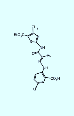 CCOC(=O)c1sc(NC(=O)/C(=N/Nc2ccc(Cl)cc2C(=O)O)C(C)=O)nc1C